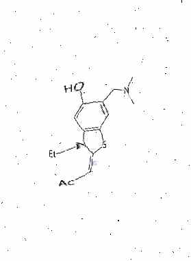 CCN1/C(=C\C(C)=O)Sc2cc(CN(C)C)c(O)cc21